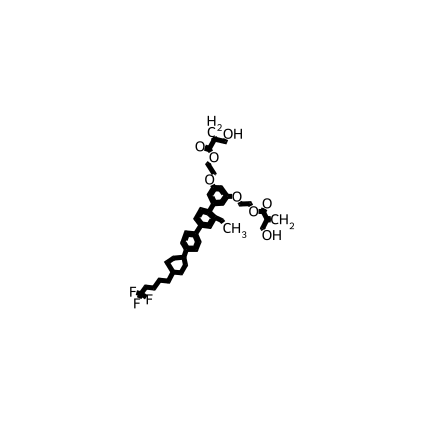 C=C(CO)C(=O)OCCOc1cc(OCCOC(=O)C(=C)CO)cc(-c2ccc(-c3ccc(C4CCC(CCCCC(F)(F)F)CC4)cc3)cc2CC)c1